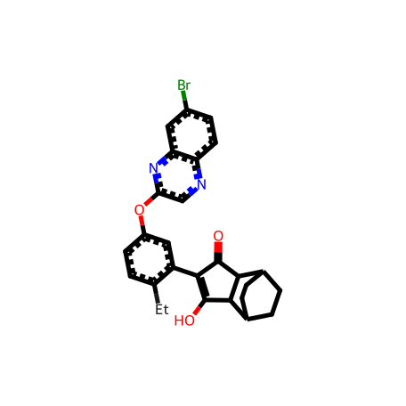 CCc1ccc(Oc2cnc3ccc(Br)cc3n2)cc1C1=C(O)C2C3CCC(CC3)C2C1=O